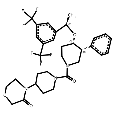 C[C@@H](O[C@H]1CCN(C(=O)N2CCC(N3CCOCC3=O)CC2)C[C@H]1c1ccccc1)c1cc(C(F)(F)F)cc(C(F)(F)F)c1